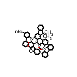 CCCCc1ccc(N2c3cc4c(c5c3B(c3c2ccc2oc6ccccc6c32)N2c3ccccc3S3(c6ccccc6-c6ccccc63)c3cccc-5c32)C(C)(C)c2ccccc2-4)c(-c2ccccc2)c1